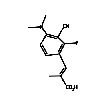 CC(=Cc1ccc(N(C)C)c(C#N)c1F)C(=O)O